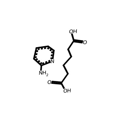 Nc1ccccn1.O=C(O)CCCCC(=O)O